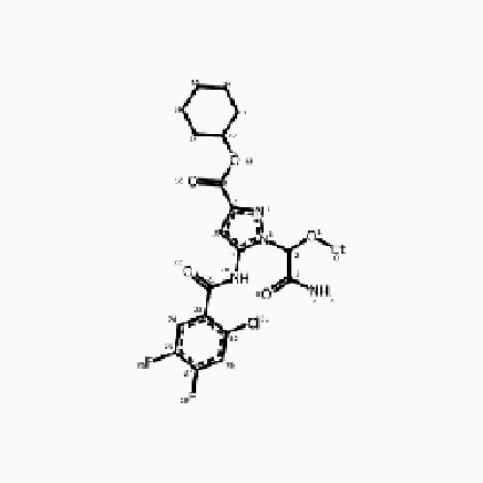 CCOC(C(N)=O)n1nc(C(=O)OC2CCCCC2)cc1NC(=O)c1cc(F)c(F)cc1Cl